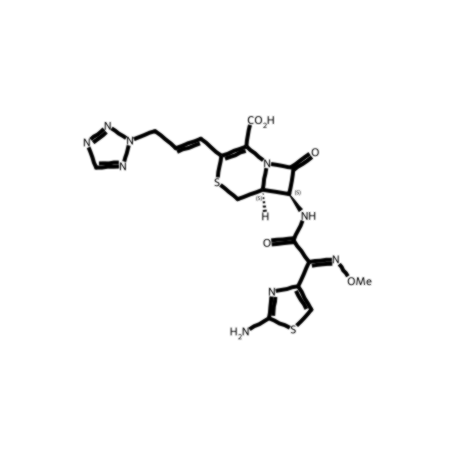 CON=C(C(=O)N[C@@H]1C(=O)N2C(C(=O)O)=C(C=CCn3ncnn3)SC[C@H]12)c1csc(N)n1